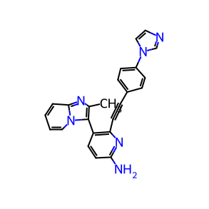 Cc1nc2ccccn2c1-c1ccc(N)nc1C#Cc1ccc(-n2ccnc2)cc1